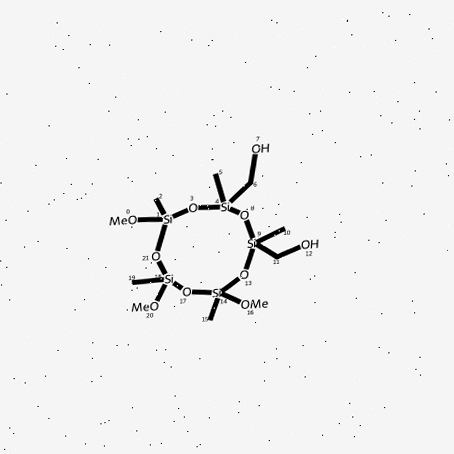 CO[Si]1(C)O[Si](C)(CO)O[Si](C)(CO)O[Si](C)(OC)O[Si](C)(OC)O1